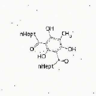 CCCCCCCC(=O)c1c(O)c(C)c(O)c(C(=O)CCCCCCC)c1O